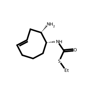 CCSC(=O)N[C@@H]1CCC/C=C/C[C@@H]1N